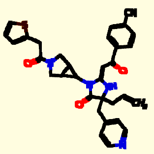 C=CCC1(Cc2ccncc2)NC(=CC(=O)c2ccc(C#N)cc2)N(C2C3CN(C(=O)Cc4cccs4)CC32)C1=O